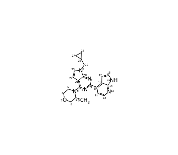 CC1COCCN1c1nc(-c2ccnc3[nH]ccc23)nc2c1ccn2CC1CC1